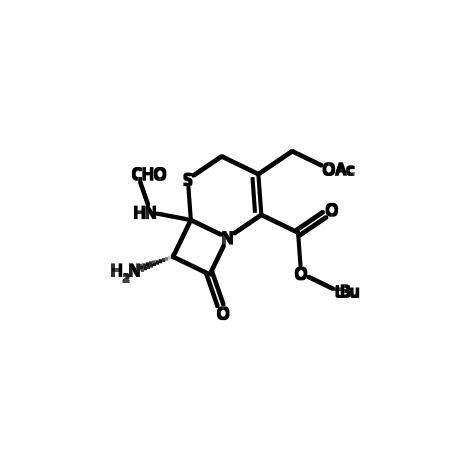 CC(=O)OCC1=C(C(=O)OC(C)(C)C)N2C(=O)[C@H](N)C2(NC=O)SC1